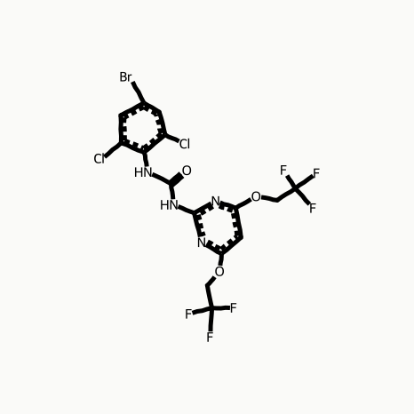 O=C(Nc1nc(OCC(F)(F)F)cc(OCC(F)(F)F)n1)Nc1c(Cl)cc(Br)cc1Cl